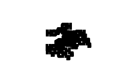 CC(C)(C)c1cc(C(C)(CC(=O)O)c2ccc(O)c(C(C)(C)C)c2)ccc1O.OCCCO